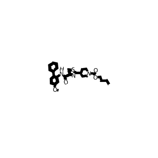 CCCCOC(=O)N1CCC(c2nc(C(=O)Nc3cc(OC)ccc3-c3ccccc3)cs2)CC1